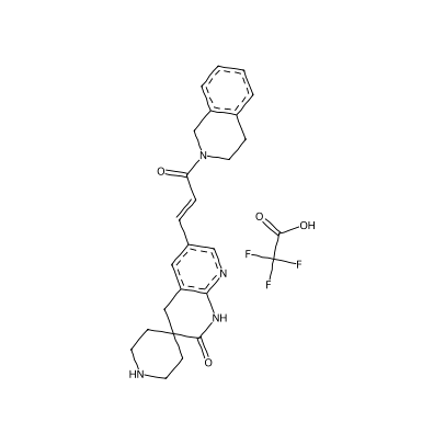 O=C(/C=C/c1cnc2c(c1)CC1(CCNCC1)C(=O)N2)N1CCc2ccccc2C1.O=C(O)C(F)(F)F